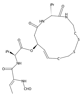 C/C=C(\NC=O)C(=O)N[C@H](C(=O)O[C@@H]1/C=C/CCSSCCNC(=O)[C@@H](C(C)C)NC(=O)C1)C(C)C